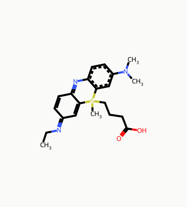 CC/N=C1\C=CC2=Nc3ccc(N(C)C)cc3S(C)(CCCC(=O)O)C2=C1